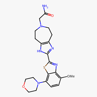 COc1ccc(N2CCOCC2)c2sc(-c3nc4c([nH]3)CCN(CC(N)=O)CC4)nc12